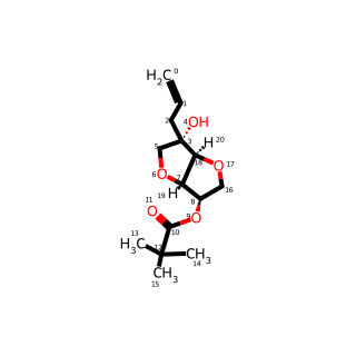 C=CC[C@]1(O)CO[C@@H]2[C@H](OC(=O)C(C)(C)C)CO[C@@H]21